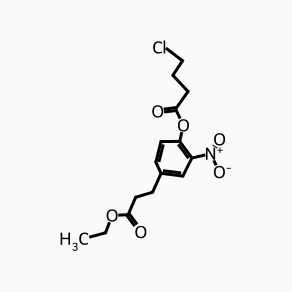 CCOC(=O)CCc1ccc(OC(=O)CCCCl)c([N+](=O)[O-])c1